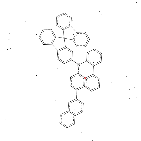 c1ccc(-c2ccccc2N(c2ccc(-c3ccc4ccccc4c3)cc2)c2ccc3c(c2)C2(c4ccccc4-c4ccccc42)c2ccccc2-3)cc1